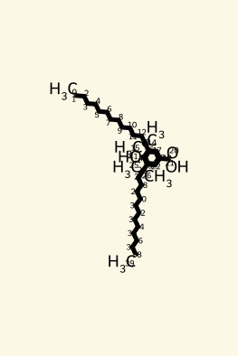 CCCCCCCCCCCCCC(C)(C)c1cc(C(=O)O)cc(C(C)(C)CCCCCCCCCCCCC)c1O